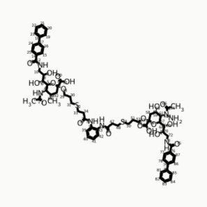 CC(=O)N[C@H]1C([C@H](O)C(O)CNC(=O)c2ccc(-c3ccccc3)cc2)O[C@@](OCCCSCCC(=O)Nc2ccccc2NC(=O)CCSCCCO[C@]2(C(=O)O)C[C@H](O)[C@@H](N(N)C(C)=O)C([C@H](O)[C@H](O)CNC(=O)c3ccc(-c4ccccc4)cc3)O2)(C(=O)O)C[C@@H]1C